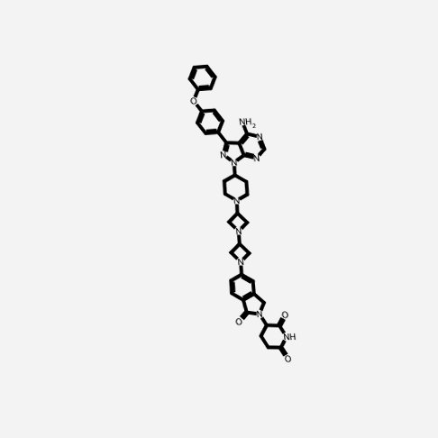 Nc1ncnc2c1c(-c1ccc(Oc3ccccc3)cc1)nn2C1CCN(C2CN(C3CN(c4ccc5c(c4)CN(C4CCC(=O)NC4=O)C5=O)C3)C2)CC1